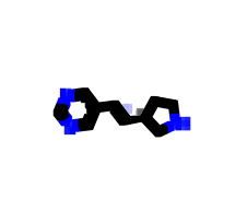 C(=C\[C@H]1CCNC1)/c1cncnc1